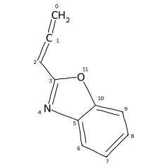 C=C=Cc1nc2ccccc2o1